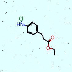 CCOC(=O)CCc1ccc(NCl)cc1